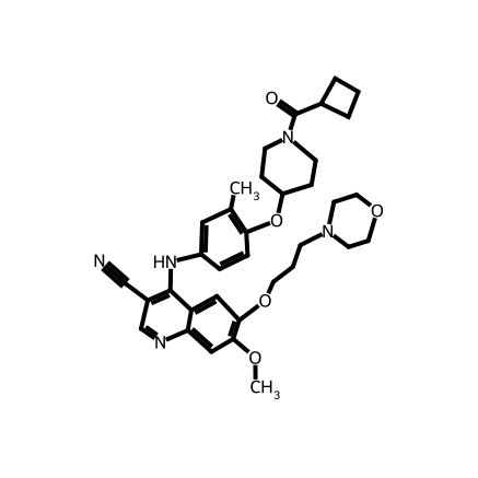 COc1cc2ncc(C#N)c(Nc3ccc(OC4CCN(C(=O)C5CCC5)CC4)c(C)c3)c2cc1OCCCN1CCOCC1